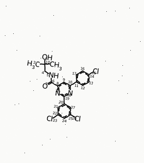 CC(C)(O)CNC(=O)c1cc(-c2ccc(Cl)cc2)nc(-c2cc(Cl)cc(Cl)c2)n1